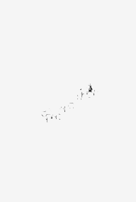 O=C(c1cccc2cc[nH]c12)N1CCOC2(CCN(Cc3cc(F)cc(CCNCC(O)c4ccc(O)c5[nH]c(=O)sc45)c3)CC2)C1